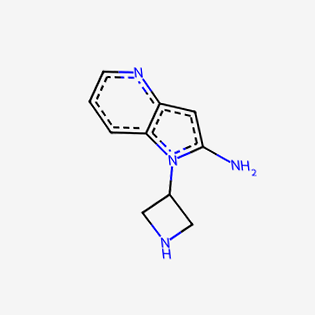 Nc1cc2ncccc2n1C1CNC1